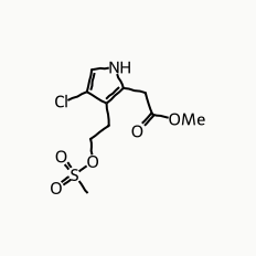 COC(=O)Cc1[nH]cc(Cl)c1CCOS(C)(=O)=O